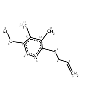 C=CCSc1nnc(OCC)c(C)c1C